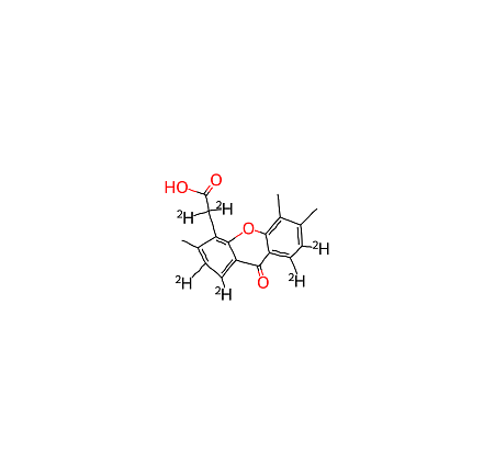 [2H]c1c(C)c(C)c2oc3c(C([2H])([2H])C(=O)O)c(C)c([2H])c([2H])c3c(=O)c2c1[2H]